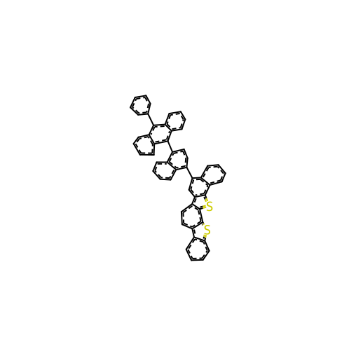 c1ccc(-c2c3ccccc3c(-c3ccc(-c4cc5c6ccc7c8ccccc8sc7c6sc5c5ccccc45)c4ccccc34)c3ccccc23)cc1